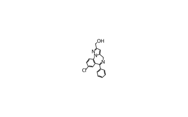 OCc1cc2n(n1)-c1ccc(Cl)cc1C(c1ccccc1)=NC2